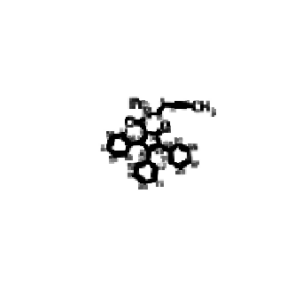 CC#CCCN(C(=O)C1=C(c2ccccc2)C(c2ccccc2)=C(c2ccccc2)C1=O)C(C)C